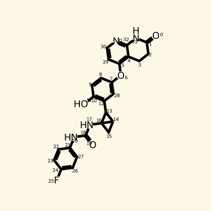 O=C1CCc2c(Oc3ccc(O)c(C4C5CC54NC(=O)Nc4ccc(F)cc4)c3)ccnc2N1